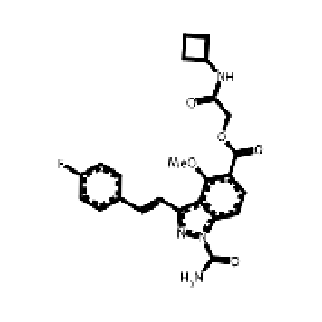 COc1c(C(=O)OCC(=O)NC2CCC2)ccc2c1c(C=Cc1ccc(F)cc1)nn2C(N)=O